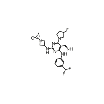 C[S+]([O-])N1CC(Nc2nc(Nc3cccc(C(F)F)c3)c(C=N)c(N3CCC(F)C3)n2)C1